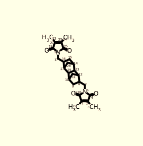 CC1=C(C)C(=O)N(CC2CC3CC2C2C4CC(CN5C(=O)C(C)=C(C)C5=O)C(C4)C32)C1=O